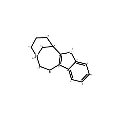 c1ccc2c3c(oc2c1)C1CCCN(CC3)C1